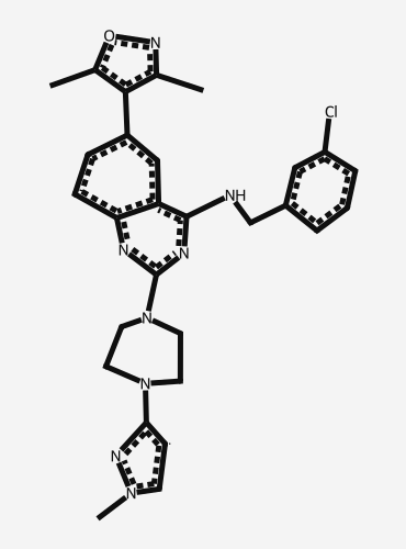 Cc1noc(C)c1-c1ccc2nc(N3CCN(c4[c]cn(C)n4)CC3)nc(NCc3cccc(Cl)c3)c2c1